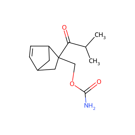 CC(C)C(=O)C1(COC(N)=O)CC2C=CC1C2